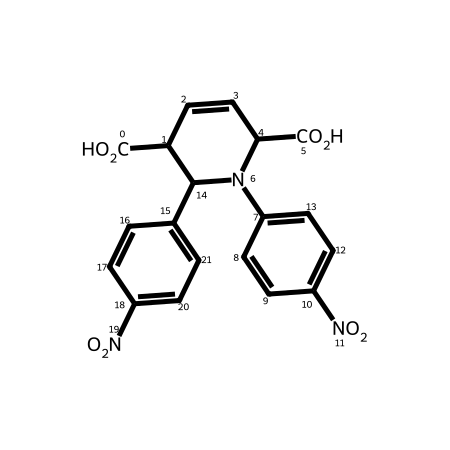 O=C(O)C1C=CC(C(=O)O)N(c2ccc([N+](=O)[O-])cc2)C1c1ccc([N+](=O)[O-])cc1